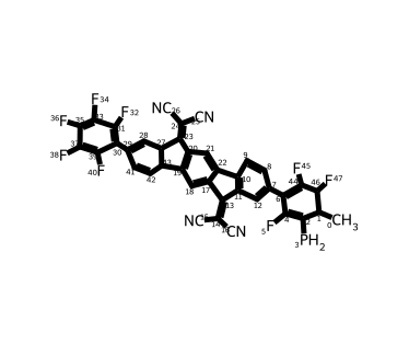 CC1C(P)=C(F)C(c2ccc3c(c2)C(=C(C#N)C#N)c2cc4c(cc2-3)C(=C(C#N)C#N)C2C=C(c3c(F)c(F)c(F)c(F)c3F)C=CC42)=C(F)C1F